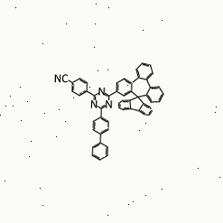 N#Cc1ccc(-c2nc(-c3ccc(-c4ccccc4)cc3)nc(-c3ccc4c(c3)C3(c5ccccc5-c5ccccc5-4)c4ccccc4-c4ccccc43)n2)cc1